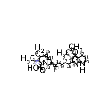 C=C(/C(=C\C)[C@@H](C(=O)O)N1CC[C@@H](C(F)CCCCc2cc(OC(C)C)c3c(n2)NCCC3)C1)C1CC1